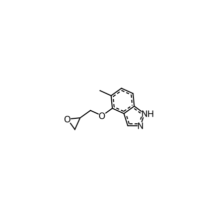 Cc1ccc2[nH]ncc2c1OCC1CO1